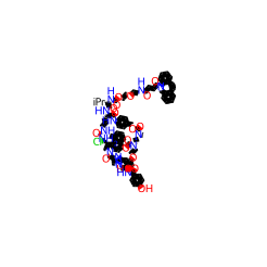 Cc1cccc2c(OC(=O)N(CCOCCO)CCN(C)C(=O)OCc3ccc(NC(=O)[C@H](CCCNC(N)=O)NC(=O)[C@@H](NC(=O)OCCOCCNC(=O)CCC(=O)N4Cc5ccccc5C#Cc5ccccc54)C(C)C)cc3)cc3c(c12)[C@H](CCl)CN3C(=O)c1cn2cc(NC(=O)c3ccc(O)cc3)ccc2n1